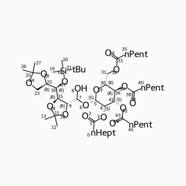 CCCCCCCC(=O)O[C@@H]1[C@H](OC(O)[C@@H]2OC(C)(C)O[C@H]2[C@H](O[Si](C)(C)C(C)(C)C)[C@H]2COC(C)(C)O2)O[C@H](COC(=O)CCCCC)[C@@H](OC(=O)CCCCC)[C@@H]1OC(=O)CCCCC